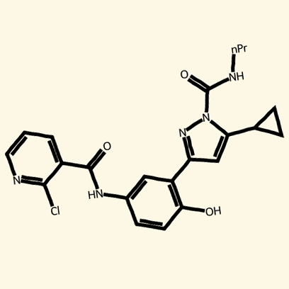 CCCNC(=O)n1nc(-c2cc(NC(=O)c3cccnc3Cl)ccc2O)cc1C1CC1